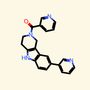 O=C(c1cccnc1)N1CCc2[nH]c3ccc(-c4cccnc4)cc3c2C1